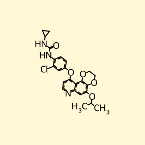 CC(C)Oc1cc2nccc(Oc3ccc(NC(=O)NC4CC4)c(Cl)c3)c2c2c1OCCO2